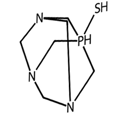 S[PH]12CN3CN(CN(C3)C1)C2